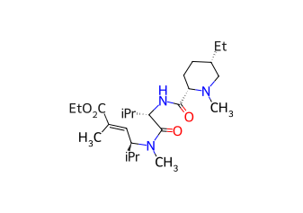 CCOC(=O)/C(C)=C/[C@H](C(C)C)N(C)C(=O)[C@@H](NC(=O)[C@@H]1CC[C@H](CC)CN1C)C(C)C